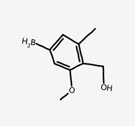 Bc1cc(C)c(CO)c(OC)c1